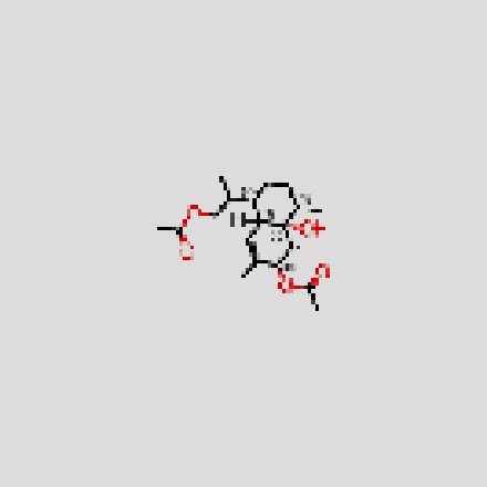 CC(=O)OCC(C)[C@H]1CC[C@@H](C)[C@]2(O)[CH][C@@H](OC(C)=O)C(C)=C[C@H]12